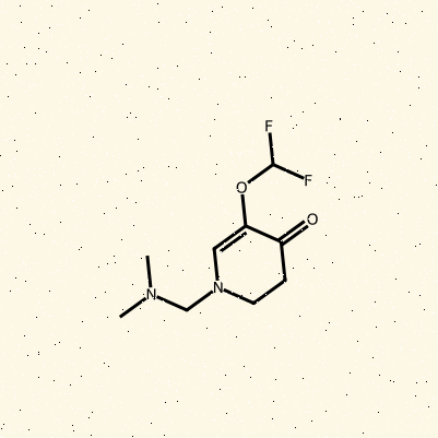 CN(C)CN1C=C(OC(F)F)C(=O)CC1